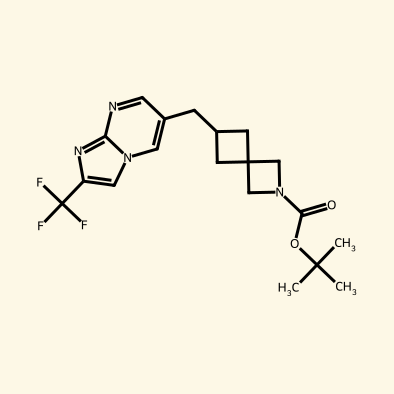 CC(C)(C)OC(=O)N1CC2(CC(Cc3cnc4nc(C(F)(F)F)cn4c3)C2)C1